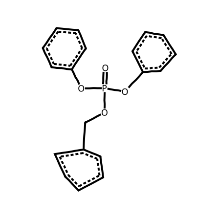 O=P(OCc1ccccc1)(Oc1ccccc1)Oc1ccccc1